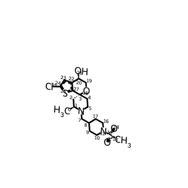 C[C@H]1C[C@@]2(CCN1CC1CCN(S(C)(=O)=O)CC1)OC[C@H](O)c1cc(Cl)sc12